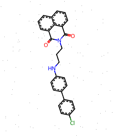 O=C1c2cccc3cccc(c23)C(=O)N1CCCNc1ccc(-c2ccc(Cl)cc2)cc1